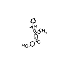 COCC1(CN[C@@H]2C[C@@H]2c2ccccc2)CCN(C(=O)[C@H]2CC[C@@H](CO)CC2)CC1